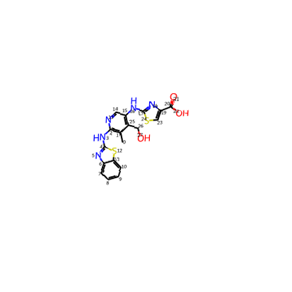 Cc1c(Nc2nc3ccccc3s2)ncc(Nc2nc(C(=O)O)cs2)c1CO